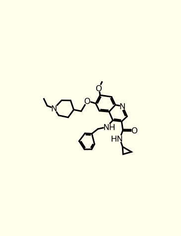 CCN1CCC(COc2cc3c(NCc4ccccc4)c(C(=O)NC4CC4)cnc3cc2OC)CC1